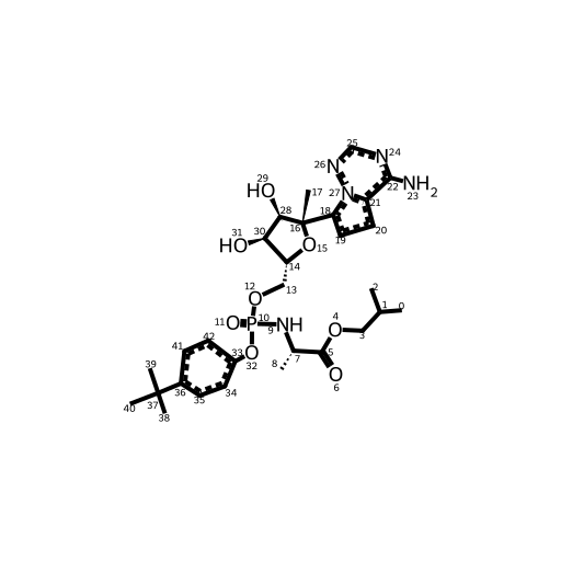 CC(C)COC(=O)[C@H](C)NP(=O)(OC[C@H]1O[C@@](C)(c2ccc3c(N)ncnn23)[C@H](O)[C@@H]1O)Oc1ccc(C(C)(C)C)cc1